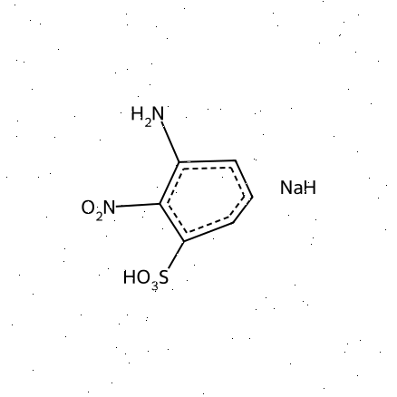 Nc1cccc(S(=O)(=O)O)c1[N+](=O)[O-].[NaH]